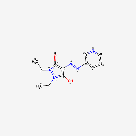 CCn1c(O)c(/N=N/c2cccnc2)c(=O)n1CC